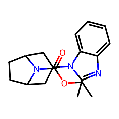 CCOC(=O)N1C2CCC1CC(n1c(C)nc3ccccc31)C2